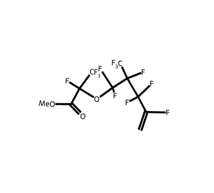 C=C(F)C(F)(F)C(F)(C(F)(F)F)C(F)(F)OC(F)(C(=O)OC)C(F)(F)F